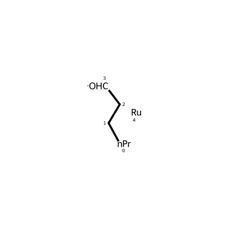 CCCCC[C]=O.[Ru]